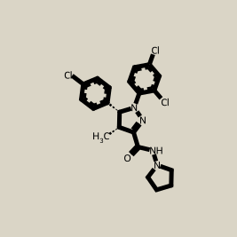 C[C@H]1C(C(=O)NN2CCCC2)=NN(c2ccc(Cl)cc2Cl)[C@H]1c1ccc(Cl)cc1